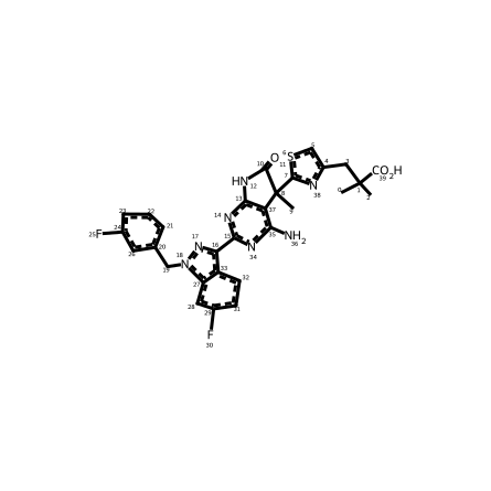 CC(C)(Cc1csc(C2(C)C(=O)Nc3nc(-c4nn(Cc5cccc(F)c5)c5cc(F)ccc45)nc(N)c32)n1)C(=O)O